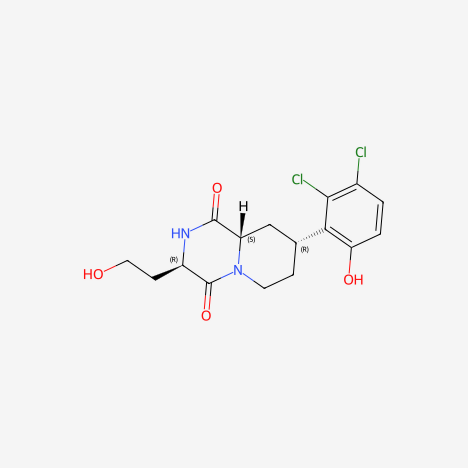 O=C1N[C@H](CCO)C(=O)N2CC[C@@H](c3c(O)ccc(Cl)c3Cl)C[C@@H]12